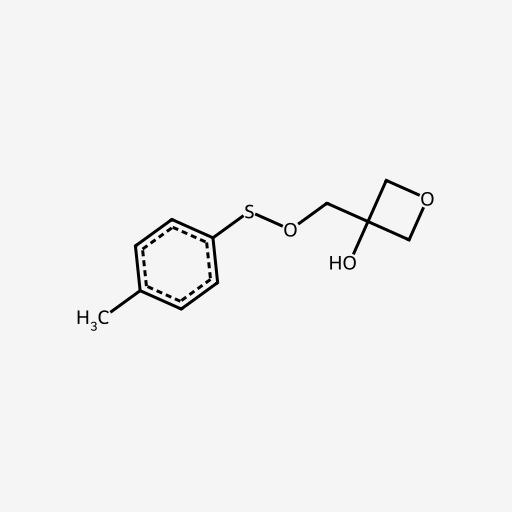 Cc1ccc(SOCC2(O)COC2)cc1